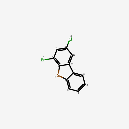 Clc1cc(Br)c2sc3ccccc3c2c1